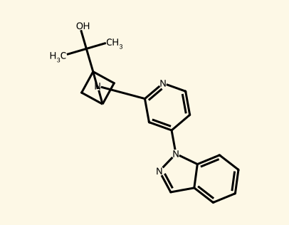 CC(C)(O)C12CC(C1)N(c1cc(-n3ncc4ccccc43)ccn1)C2